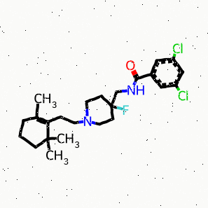 CC1=C(CCN2CCC(F)(CNC(=O)c3cc(Cl)cc(Cl)c3)CC2)C(C)(C)CCC1